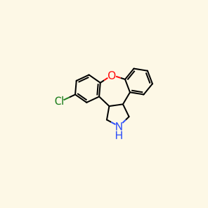 Clc1ccc2c(c1)C1CNCC1c1ccccc1O2